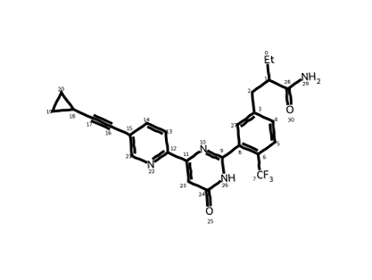 CCC(Cc1ccc(C(F)(F)F)c(-c2nc(-c3ccc(C#CC4CC4)cn3)cc(=O)[nH]2)c1)C(N)=O